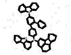 c1ccc(-c2cc(-n3c4ccccc4c4ccccc43)ccc2-c2ccc(N(c3cc4c5c(cccc5c3)-c3ccccc3-4)c3cccc4c3oc3ccccc34)cc2)cc1